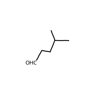 CC(C)CCC=O